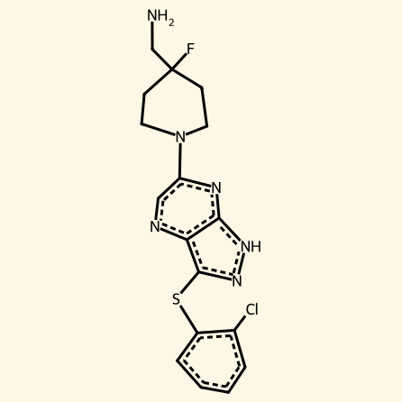 NCC1(F)CCN(c2cnc3c(Sc4ccccc4Cl)n[nH]c3n2)CC1